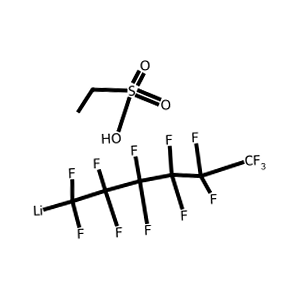 CCS(=O)(=O)O.[Li][C](F)(F)C(F)(F)C(F)(F)C(F)(F)C(F)(F)C(F)(F)F